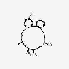 C=C1/C=C\C(C)=C/Cc2ccccc2-c2cc(C)ccc2C/C=C\C(I)=C/C1=C